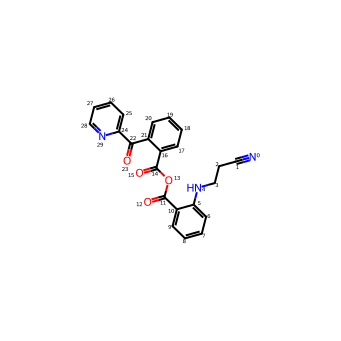 N#CCCNc1ccccc1C(=O)OC(=O)c1ccccc1C(=O)c1ccccn1